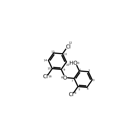 Oc1cccc(Cl)c1Oc1cc(Cl)ccc1Cl